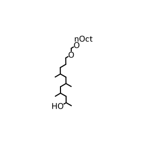 CCCCCCCCOCOCCCC(C)CC(C)CC(C)CC(C)O